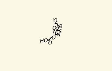 COCCS(=O)(=O)c1nc(OCC(=O)O)ns1